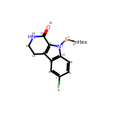 CCCCCCSn1c2c(c3cc(F)ccc31)CCNC2=O